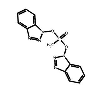 CP(=O)(On1nnc2ccccc21)On1nnc2ccccc21